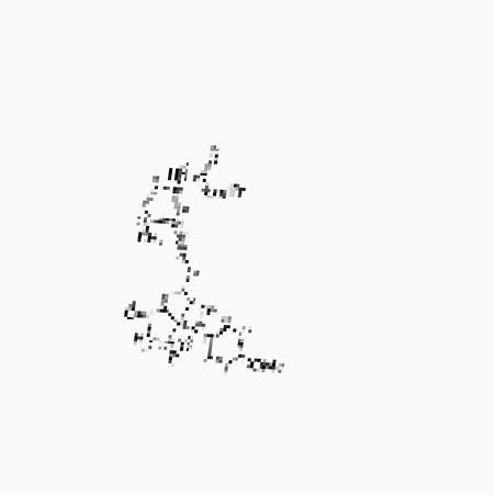 COc1ccc(S(=O)(=O)C2(CCCC#Cc3cc(NC(=O)OC(C)C)ccc3C)SC(=O)NC2=O)cc1